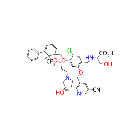 CC1(C(F)(F)F)C(c2ccccc2)=CC=CC1(COc1cc(OCc2cncc(C#N)c2)c(CNC(CO)C(=O)O)cc1Cl)OCCCN1CC[C@@H](O)C1